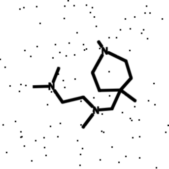 CN(C)CCN(C)CC1(C)CCN(C)CC1